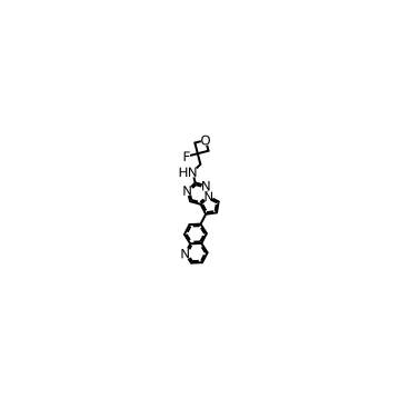 FC1(CNc2ncc3c(-c4ccc5ncccc5c4)ccn3n2)COC1